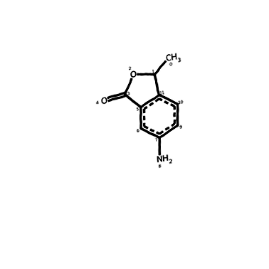 CC1OC(=O)c2cc(N)ccc21